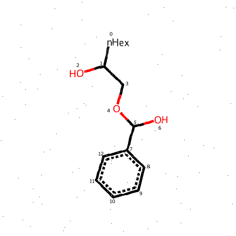 CCCCCCC(O)COC(O)c1ccccc1